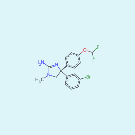 CN1C[C@@](c2ccc(OC(F)F)cc2)(c2cccc(Br)c2)N=C1N